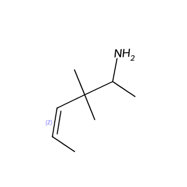 C/C=C\C(C)(C)C(C)N